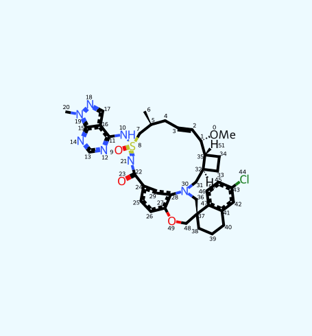 CO[C@H]1/C=C/C[C@H](C)C[S@@](=O)(Nc2ncnc3c2cnn3C)=NC(=O)c2ccc3c(c2)N(C[C@@H]2CC[C@H]21)C[C@@]1(CCCc2cc(Cl)ccc21)CO3